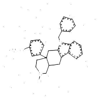 CCN1CCC2(c3cccc(OC)c3)Cc3c(c4ccccc4n3Cc3ccccc3)CC2C1